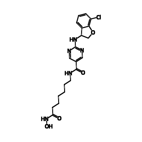 O=C(CCCCCCNC(=O)c1cnc(NC2COc3c(Cl)cccc32)nc1)NO